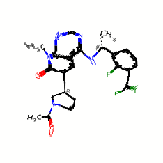 CC(=O)N1CC[C@H](c2cc3c(N[C@H](C)c4cccc(C(F)F)c4F)ncnc3n(C)c2=O)C1